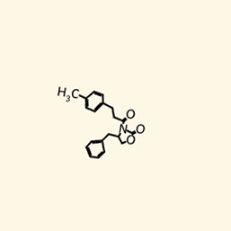 Cc1ccc(CCC(=O)N2C(=O)OCC2Cc2ccccc2)cc1